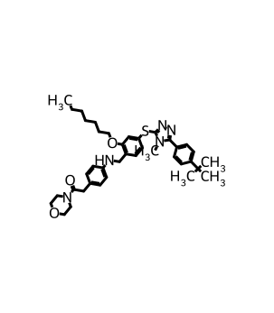 CCCCCCCOc1cc(Sc2nnc(-c3ccc(C(C)(C)C)cc3)n2C)ccc1CNc1ccc(CC(=O)N2CCOCC2)cc1